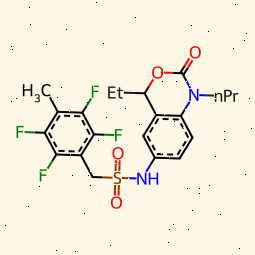 CCCN1C(=O)OC(CC)c2cc(NS(=O)(=O)Cc3c(F)c(F)c(C)c(F)c3F)ccc21